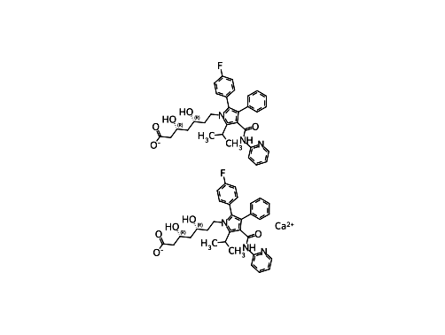 CC(C)c1c(C(=O)Nc2ccccn2)c(-c2ccccc2)c(-c2ccc(F)cc2)n1CC[C@@H](O)C[C@@H](O)CC(=O)[O-].CC(C)c1c(C(=O)Nc2ccccn2)c(-c2ccccc2)c(-c2ccc(F)cc2)n1CC[C@@H](O)C[C@@H](O)CC(=O)[O-].[Ca+2]